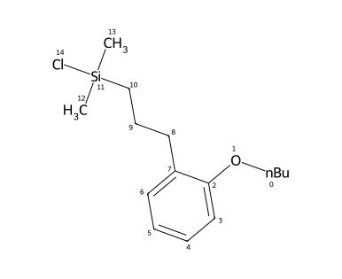 CCCCOc1ccccc1CCC[Si](C)(C)Cl